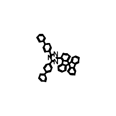 C1=CC(c2ccccc2)CC=C1c1nc(-c2ccc(-c3ccccc3)cc2)nc(-c2cccc3c2-c2ccccc2C32c3ccccc3-c3ccccc32)n1